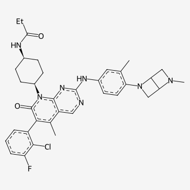 CCC(=O)N[C@H]1CC[C@@H](n2c(=O)c(-c3cccc(F)c3Cl)c(C)c3cnc(Nc4ccc(N5CC6C5CN6C)c(C)c4)nc32)CC1